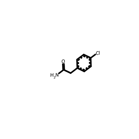 NC(=O)Cc1ccc(Cl)cc1